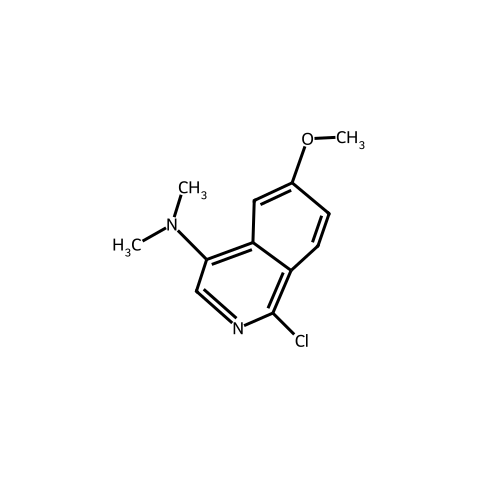 COc1ccc2c(Cl)ncc(N(C)C)c2c1